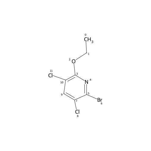 CCOc1nc(Br)c(Cl)cc1Cl